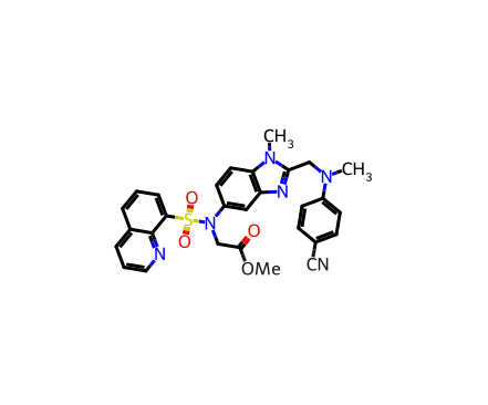 COC(=O)CN(c1ccc2c(c1)nc(CN(C)c1ccc(C#N)cc1)n2C)S(=O)(=O)c1cccc2cccnc12